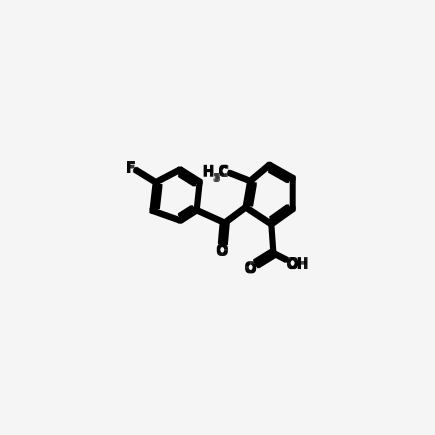 Cc1cccc(C(=O)O)c1C(=O)c1ccc(F)cc1